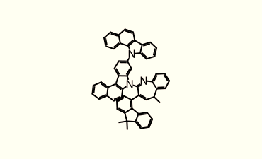 CC1C=C(c2cccc3c2-c2ccccc2C3(C)C)C(n2c3cc(-n4c5ccccc5c5ccc6ccccc6c54)ccc3c3c4ccccc4ccc32)=Nc2ccccc21